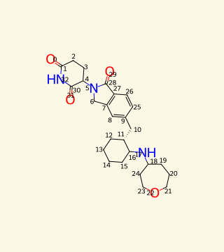 O=C1CCC(N2Cc3cc(C[C@H]4CCCCC4NC4CCCOCC4)ccc3C2=O)C(=O)N1